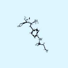 N[C@@H](Cc1ccc(NC(=O)CCBr)cc1)C(=O)O